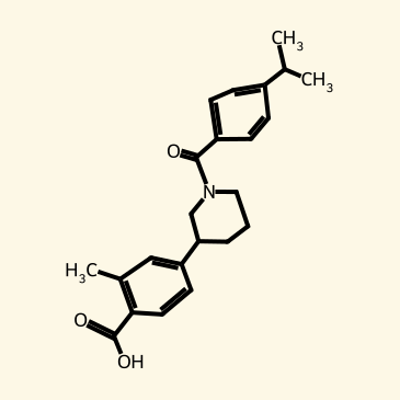 Cc1cc(C2CCCN(C(=O)c3ccc(C(C)C)cc3)C2)ccc1C(=O)O